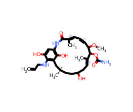 C=CCNc1c(O)cc2c(O)c1C[C@@H](C)CCC(O)C/C=C(\C)C(OC(N)=O)C(OC)/C=C\C=C(/C)C(=O)N2